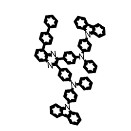 c1ccc(-c2ccc(-c3cccc4nc(-c5ccc(N(c6ccccc6)c6ccc(-n7c8ccccc8c8ccccc87)cc6)cc5)c(-c5ccc(N(c6ccccc6)c6ccc(-n7c8ccccc8c8ccccc87)cc6)cc5)nc34)cc2)cc1